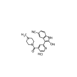 CN1CCN(C(=O)c2ccnc(-c3c(O)[nH]c4ccc(C#N)cc34)c2)CC1.Cl